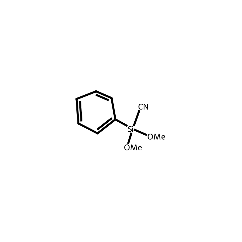 CO[Si](C#N)(OC)c1ccccc1